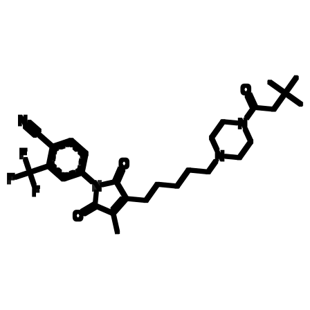 CC1=C(CCCCCN2CCN(C(=O)CC(C)(C)C)CC2)C(=O)N(c2ccc(C#N)c(C(F)(F)F)c2)C1=O